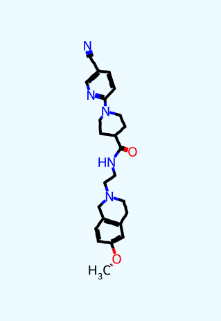 COc1ccc2c(c1)CCN(CCNC(=O)C1CCN(c3ccc(C#N)cn3)CC1)C2